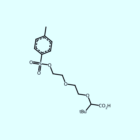 Cc1ccc(S(=O)(=O)OCCOCCOC(C(=O)O)C(C)(C)C)cc1